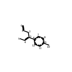 C=CCC(=CC)c1ccc(C)cc1